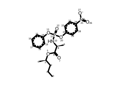 CCC[C@@H](C)OC(=O)[C@H](C)NP(=O)(Oc1ccccc1)Oc1ccc([N+](=O)[O-])cc1